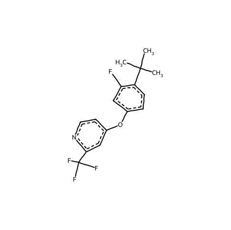 CC(C)(C)c1ccc(Oc2ccnc(C(F)(F)F)c2)cc1F